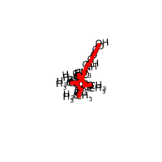 CC(C)(C)OC(=O)CN1CCN(CC(=O)OC(C)(C)C)CCN([C@H](CCC(=O)NCCNC(=O)NCCOCCOCCOCCC(=O)O)C(=O)OC(C)(C)C)CCN(CC(=O)OC(C)(C)C)CC1